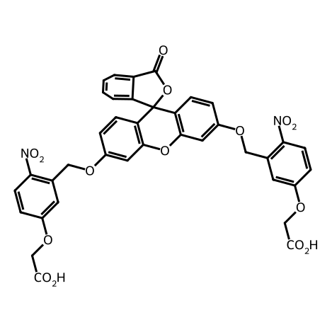 O=C(O)COc1ccc([N+](=O)[O-])c(COc2ccc3c(c2)Oc2cc(OCc4cc(OCC(=O)O)ccc4[N+](=O)[O-])ccc2C32OC(=O)c3ccccc32)c1